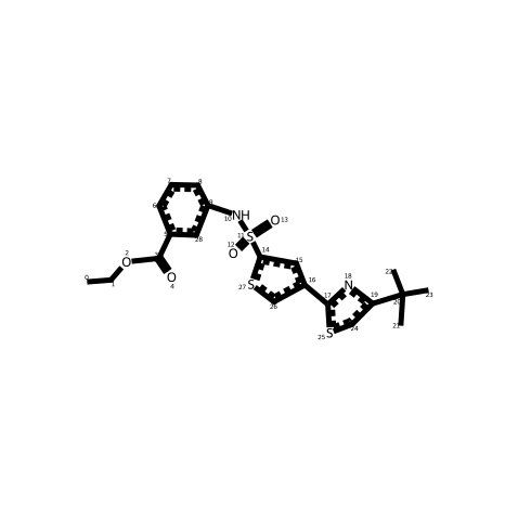 CCOC(=O)c1cccc(NS(=O)(=O)c2cc(-c3nc(C(C)(C)C)cs3)cs2)c1